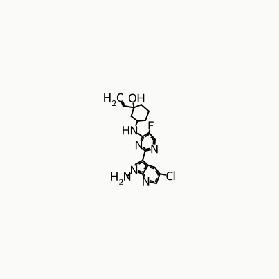 C=CC1(O)CCCC(Nc2nc(-c3cn(N)c4ncc(Cl)cc34)ncc2F)C1